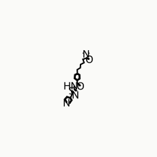 CN(C)C(=O)CCCCCc1ccc(C(=O)Nc2cnc(-c3ccncc3)s2)cc1